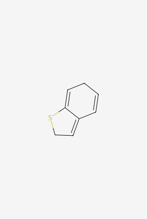 C1=CC2=CCSC2=CC1